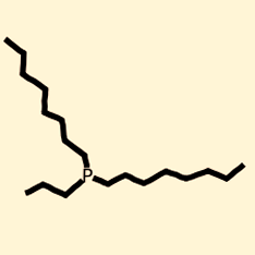 CCCCCCCCP(CCC)CCCCCCCC